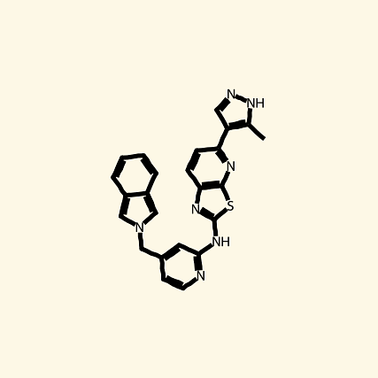 Cc1[nH]ncc1-c1ccc2nc(Nc3cc(Cn4cc5ccccc5c4)ccn3)sc2n1